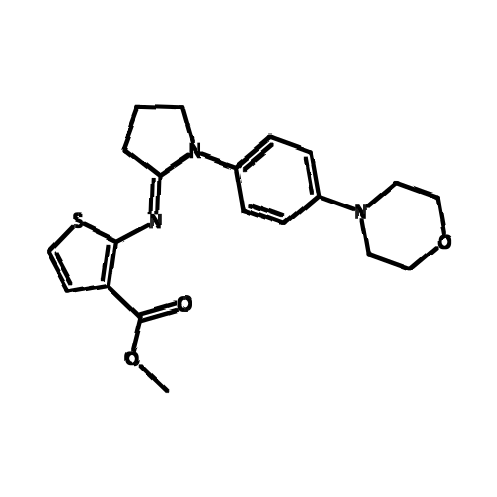 COC(=O)c1ccsc1N=C1CCCN1c1ccc(N2CCOCC2)cc1